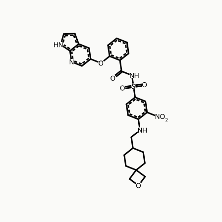 O=C(NS(=O)(=O)c1ccc(NCC2CCC3(CC2)COC3)c([N+](=O)[O-])c1)c1ccccc1Oc1cnc2[nH]ccc2c1